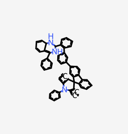 C1=CC2=C(c3ccccc3)NC(c3ccccc3-c3cccc(-c4ccc5c(c4)C4(c6ccccc6-5)c5ccccc5N(c5ccccc5)c5ccccc54)c3)NC2C=C1